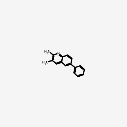 Cc1cc2cc(-c3ccccc3)ccc2nc1N